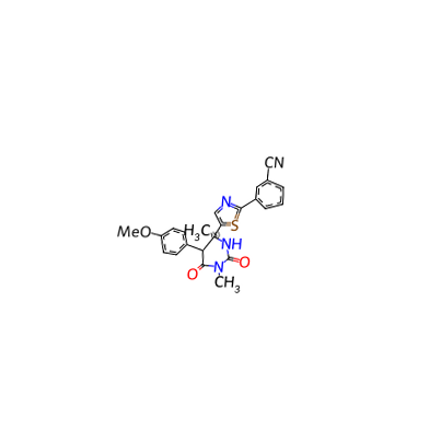 COc1ccc(C2C(=O)N(C)C(=O)N[C@]2(C)c2cnc(-c3cccc(C#N)c3)s2)cc1